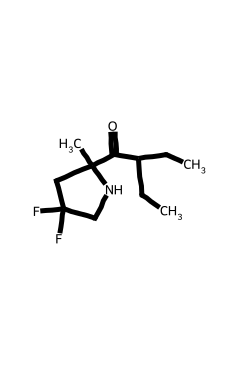 CCC(CC)C(=O)C1(C)CC(F)(F)CN1